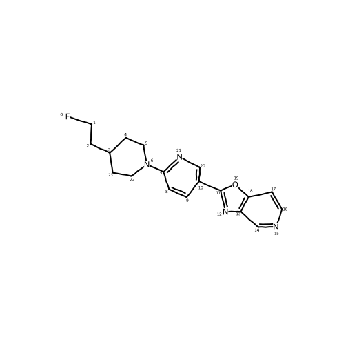 FCCC1CCN(c2ccc(-c3nc4cnccc4o3)cn2)CC1